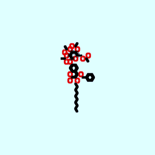 CCCCCCCCCCOc1c(OCc2ccccc2)c2ccc(O[C@@H]3O[C@H](COC(C)=O)[C@@H](OC(C)=O)[C@H](OC(C)=O)[C@H]3OC(C)=O)cc2oc1=O